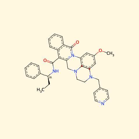 CC[C@H](NC(=O)c1c(CN2CCN(Cc3ccncc3)CC2)n(-c2cccc(OC)c2)c(=O)c2ccccc12)c1ccccc1